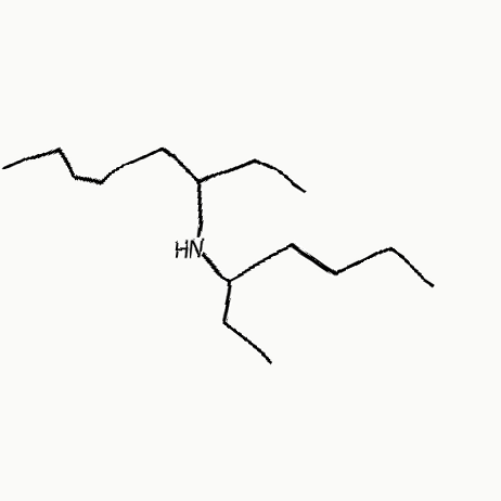 CCCCC(CC)NC(CC)CCCC